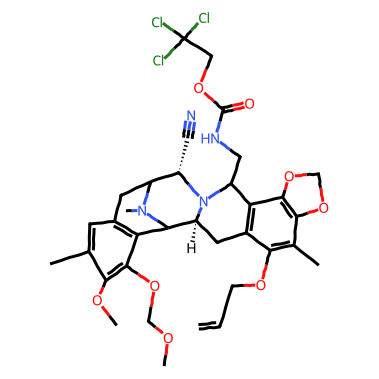 C=CCOc1c(C)c2c(c3c1C[C@H]1C4c5c(cc(C)c(OC)c5OCOC)CC([C@H](C#N)N1C3CNC(=O)OCC(Cl)(Cl)Cl)N4C)OCO2